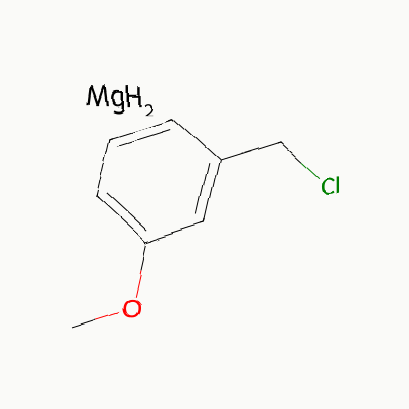 COc1cccc(CCl)c1.[MgH2]